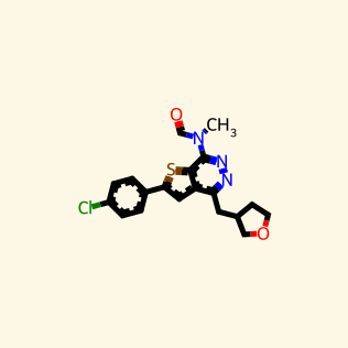 CN(C=O)c1nnc(CC2CCOC2)c2cc(-c3ccc(Cl)cc3)sc12